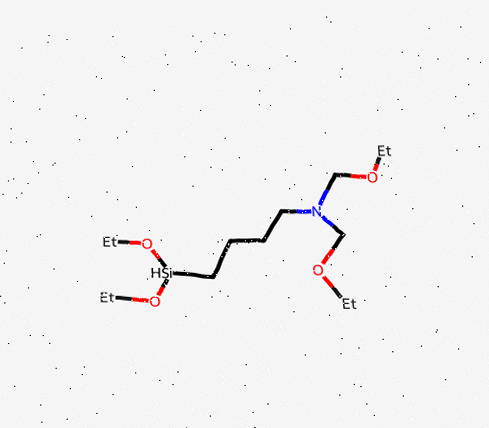 CCOCN(CCCC[SiH](OCC)OCC)COCC